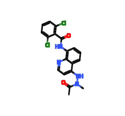 CC(=O)N(C)Nc1ccnc2c(NC(=O)c3c(Cl)cccc3Cl)cccc12